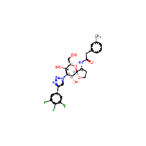 O=C(Cc1cccc(C(F)(F)F)c1)N[C@@H]1CCO[C@]12O[C@H](CO)[C@H](O)[C@H](n1cc(-c3cc(F)c(F)c(F)c3)nn1)[C@H]2O